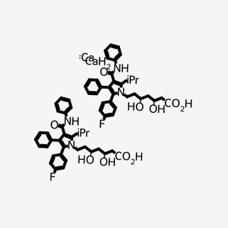 CC(C)c1c(C(=O)Nc2ccccc2)c(-c2ccccc2)c(-c2ccc(F)cc2)n1CC[C@@H](O)C[C@@H](O)CC(=O)O.CC(C)c1c(C(=O)Nc2ccccc2)c(-c2ccccc2)c(-c2ccc(F)cc2)n1CC[C@@H](O)C[C@@H](O)CC(=O)O.[CaH2].[Ca]